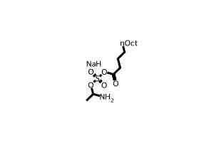 CCCCCCCCCCCC(=O)OS(=O)(=O)OC(C)N.[NaH]